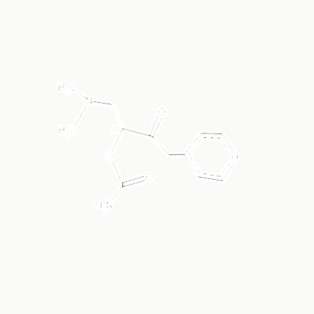 CN(C)C[C@@H](OC(N)=O)C(=O)Cc1ccccc1